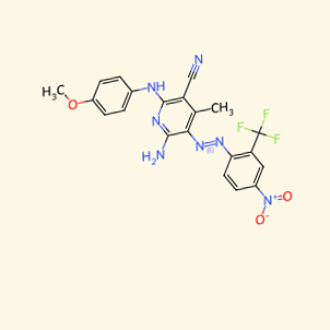 COc1ccc(Nc2nc(N)c(/N=N/c3ccc([N+](=O)[O-])cc3C(F)(F)F)c(C)c2C#N)cc1